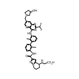 Cc1c(NC(=O)c2cc3n(n2)CCCC3NCC(=O)O)cccc1-c1cccc(Nc2nc(C(F)F)nc3cc(CN4CC[C@@H](O)C4)cnc23)c1C